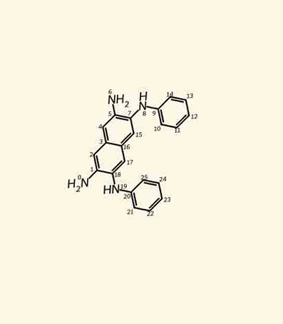 Nc1cc2cc(N)c(Nc3ccccc3)cc2cc1Nc1ccccc1